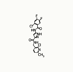 Cc1ccc(CNC(=O)c2cc(NC(=O)c3cc(F)c(F)cc3Cl)[nH]n2)c(Cl)n1